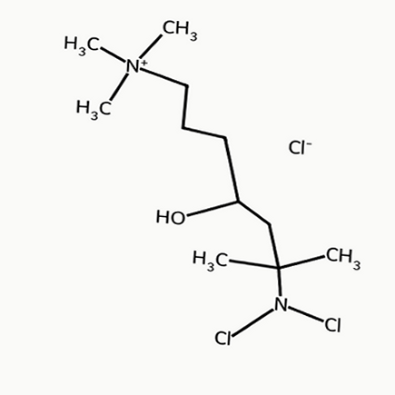 CC(C)(CC(O)CCC[N+](C)(C)C)N(Cl)Cl.[Cl-]